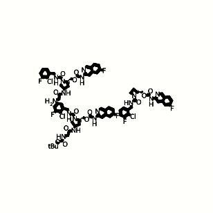 CC(C)(C)OC(=O)NCC(=O)N[C@@H]1C[C@@H](COC(=O)Nc2cc3cc(F)ccc3cn2)N(C(=O)NCc2cccc(F)c2Cl)C1.NCC(=O)N[C@@H]1C[C@@H](COC(=O)Nc2cc3cc(F)ccc3cn2)N(C(=O)NCc2cccc(F)c2Cl)C1.O=C(Nc1cc2cc(F)ccc2cn1)OC[C@@H]1CCN1C(=O)NCc1cccc(F)c1Cl